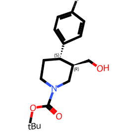 COc1ccc([C@H]2CCN(C(=O)OC(C)(C)C)C[C@@H]2CO)cc1